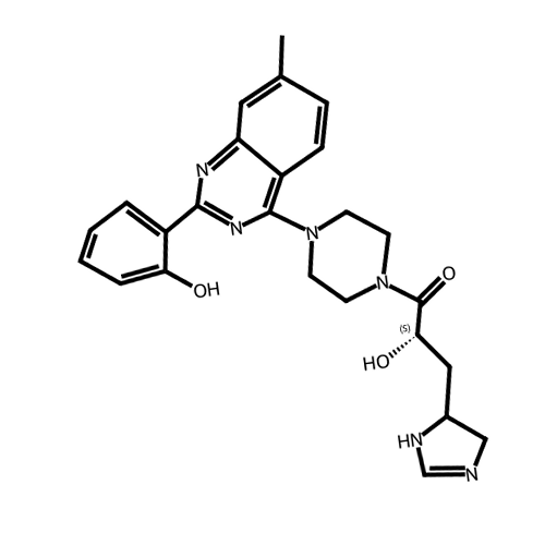 Cc1ccc2c(N3CCN(C(=O)[C@@H](O)CC4CN=CN4)CC3)nc(-c3ccccc3O)nc2c1